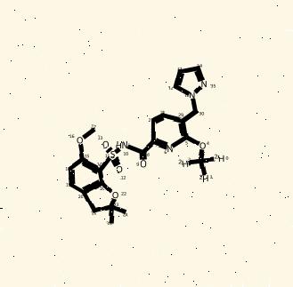 [2H]C([2H])([2H])Oc1nc(C(=O)NS(=O)(=O)c2c(OC)ccc3c2OC(C)(C)C3)ccc1Cn1cccn1